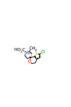 C[C@H]1C[C@@]2(CCN1C(=O)O)OCCc1cc(Cl)sc12